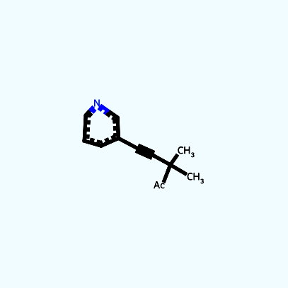 CC(=O)C(C)(C)C#Cc1cccnc1